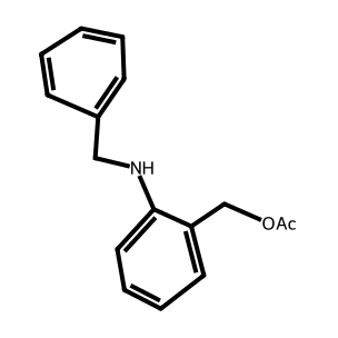 CC(=O)OCc1ccccc1NCc1ccccc1